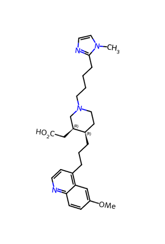 COc1ccc2nccc(CCC[C@@H]3CCN(CCCCc4nccn4C)C[C@@H]3CC(=O)O)c2c1